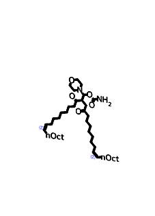 CCCCCCCC/C=C\CCCCCCCC(=O)CC(C(=O)CCCCCCC/C=C\CCCCCCCC)C(OC(N)=O)N1CCOCC1